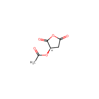 CC(=O)O[C@@H]1CC(=O)OC1=O